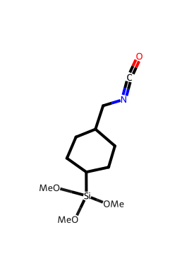 CO[Si](OC)(OC)C1CCC(CN=C=O)CC1